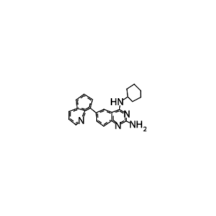 Nc1nc(NC2CCCCC2)c2cc(-c3cccc4cccnc34)ccc2n1